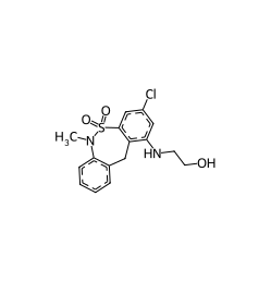 CN1c2ccccc2Cc2c(NCCO)cc(Cl)cc2S1(=O)=O